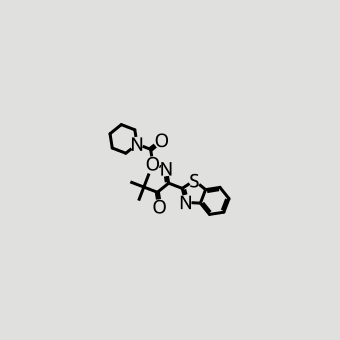 CC(C)(C)C(=O)/C(=N\OC(=O)N1CCCCC1)c1nc2ccccc2s1